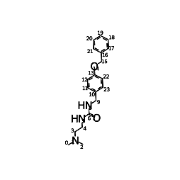 CN(C)CCNC(=O)NCc1ccc(OCc2ccccc2)cc1